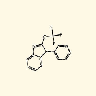 FC(F)(F)Oc1nc2ccccc2n1-c1ccccc1